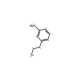 CSc1cccc(CCC(C)=O)c1